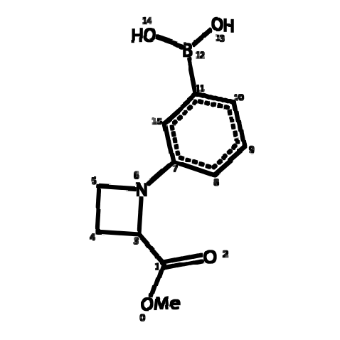 COC(=O)C1CCN1c1cccc(B(O)O)c1